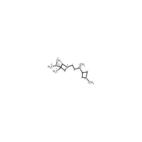 CN1CC(N(C)CCN2CC(C)(N(C)C)C2)C1